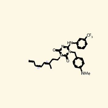 C=C/C=C\C=C(/C)CCn1c(=O)nc(Nc2cccc(C(F)(F)F)c2)n(Cc2ccc(NC)cc2)c1=O